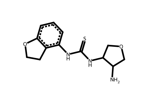 NC1COCC1NC(=S)Nc1cccc2c1CCO2